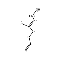 C=CCC/C(CC)=N/NO